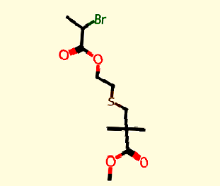 COC(=O)C(C)(C)CSCCOC(=O)C(C)Br